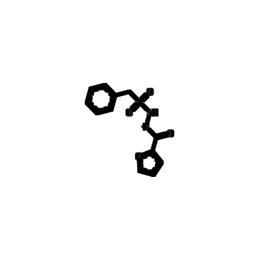 O=C([N]NS(=O)(=O)Cc1ccccc1)c1ccco1